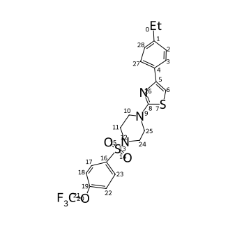 CCc1ccc(-c2csc(N3CCN(S(=O)(=O)c4ccc(OC(F)(F)F)cc4)CC3)n2)cc1